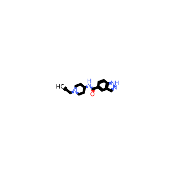 C#CCN1CCC(NC(=O)c2ccc3[nH]ncc3c2)CC1